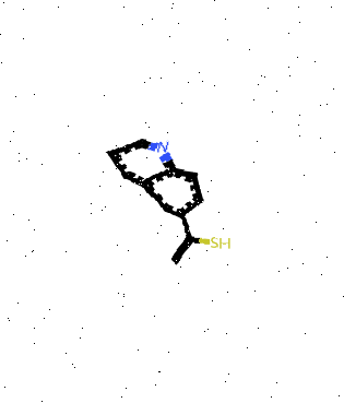 C=C(S)c1ccc2ncccc2c1